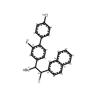 CCCCC(c1ccc(-c2ccc(Cl)cc2)c(F)c1)C(F)c1ccc2ccccc2c1